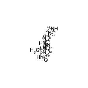 CC(C)C1CNC(=O)C2C=Cc3cnc(Nc4ccc(N5CCNCC5)cn4)nc3N21